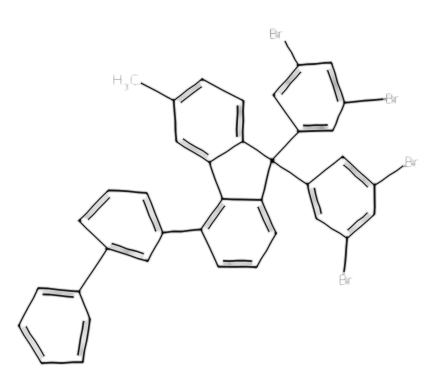 Cc1ccc2c(c1)-c1c(-c3cccc(-c4ccccc4)c3)cccc1C2(c1cc(Br)cc(Br)c1)c1cc(Br)cc(Br)c1